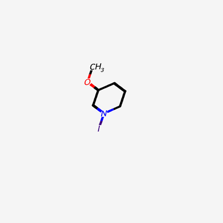 COC1CCCN(I)C1